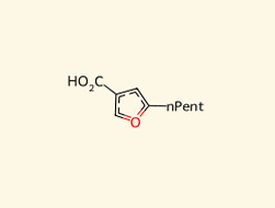 CCCCCc1cc(C(=O)O)co1